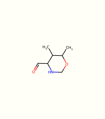 CC1OCNC(C=O)C1C